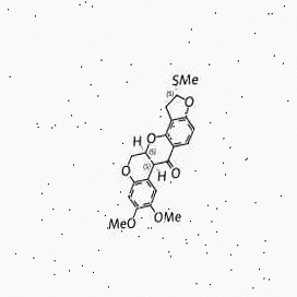 COc1cc2c(cc1OC)[C@@H]1C(=O)c3ccc4c(c3O[C@@H]1CO2)C[C@H](SC)O4